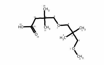 COCC(C)(C)COCC(C)(C)CC(=O)O